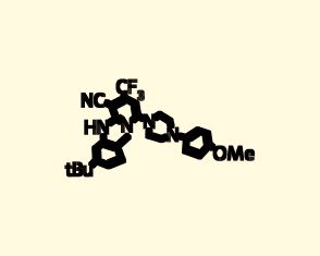 COc1ccc(N2CCN(c3cc(C(F)(F)F)c(C#N)c(Nc4cc(C(C)(C)C)ccc4C)n3)CC2)cc1